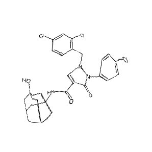 O=C(NC12CC3CC(CC(O)(C3)C1)C2)c1cn(Cc2ccc(Cl)cc2Cl)n(-c2ccc(Cl)cc2)c1=O